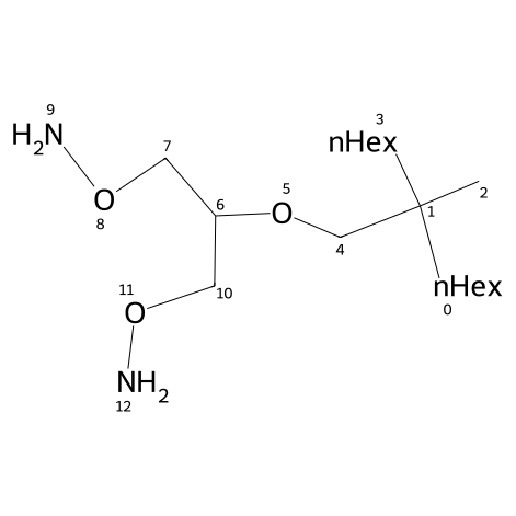 CCCCCCC(C)(CCCCCC)COC(CON)CON